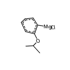 CC(C)Oc1cccc[c]1[Mg][Cl]